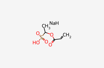 C=CC(=O)OC(C)S(=O)(=O)O.[NaH]